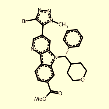 COC(=O)c1ccc2c3ncc(-c4c(Br)nnn4C)cc3n([C@H](c3ccccc3)C3CCOCC3)c2c1